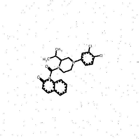 CC(C)C1CN(c2ccc(Cl)c(Cl)c2)CCN1C(=O)n1c(=O)ccc2ccccc21